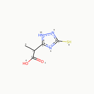 CC(C(=O)O)c1nc(S)n[nH]1